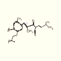 C/C(=C\c1cc(OCC(F)F)c(Br)cc1C)C(=O)C(C#N)CCN(C)C